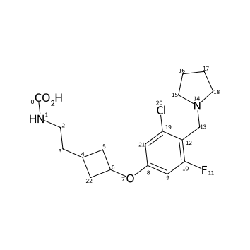 O=C(O)NCCC1CC(Oc2cc(F)c(CN3CCCC3)c(Cl)c2)C1